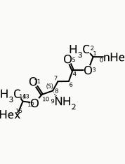 CCCCCCC(C)OC(=O)CC[C@H](N)C(=O)OC(C)CCCCCC